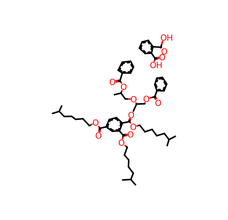 CC(C)CCCCCOC(=O)c1ccc(C(=O)OCCCCCC(C)C)c(C(=O)OCCCCCC(C)C)c1.CC(COC(=O)c1ccccc1)OCC(C)OC(=O)c1ccccc1.O=C(O)c1ccccc1C(=O)O